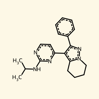 CC(C)Nc1nccc(-c2c(-c3ccccc3)nn3c2CCCC3)n1